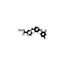 CNC(=O)C1CN(Cc2ccc(Oc3ccc(F)cc3F)nc2)CCO1